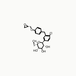 CS[C@@H]1O[C@@H](c2ccc(Cl)c(Cc3ccc(OC[C@@H]4CO4)cc3)c2)[C@H](O)[C@@H](O)[C@@H]1O